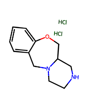 Cl.Cl.c1ccc2c(c1)CN1CCNCC1CO2